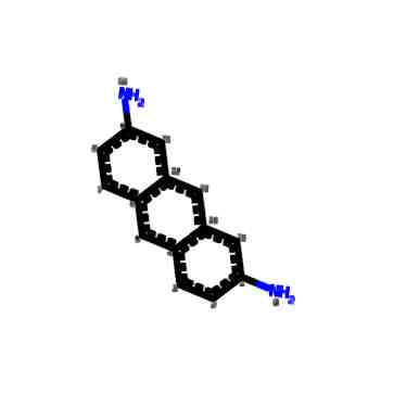 Nc1ccc2cc3ccc(N)cc3cc2c1